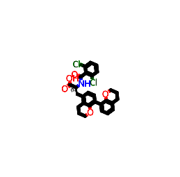 O=C(N[C@@H](Cc1ccc(-c2cccc3c2OCCC3)c2c1CCCO2)C(=O)O)c1c(Cl)cccc1Cl